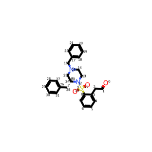 O=CCc1ccccc1S(=O)(=O)N1CCN(Cc2ccccc2)C[C@H]1Cc1ccccc1